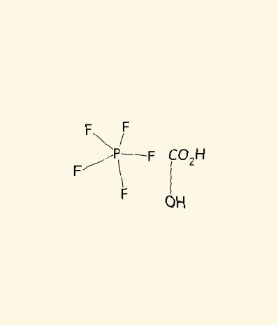 FP(F)(F)(F)F.O=C(O)O